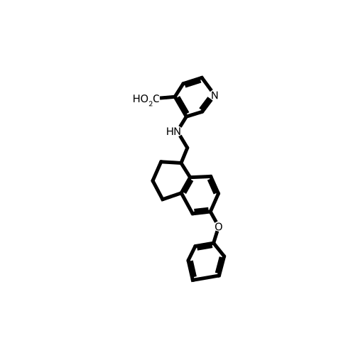 O=C(O)c1ccncc1NCC1CCCc2cc(Oc3ccccc3)ccc21